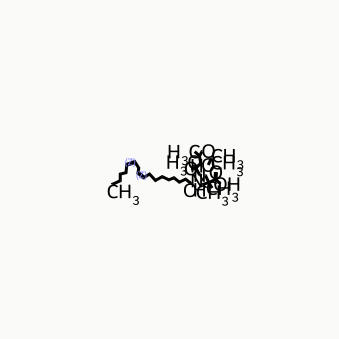 CCCCC/C=C\C/C=C\CCCCCCCC(=O)NC(C)C(C)(CNC(=O)C1OC(C)(C)OCC1(C)C)C(=O)O